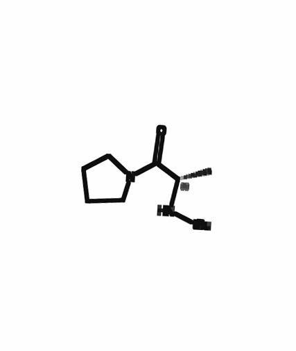 C[C@H](NC(C)(C)C)C(=O)N1CCCC1